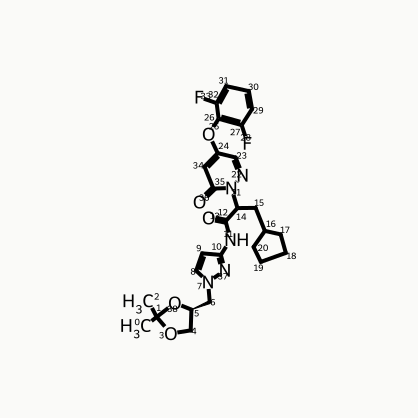 CC1(C)OC[C@H](Cn2ccc(NC(=O)C(CC3CCCC3)n3ncc(Oc4c(F)cccc4F)cc3=O)n2)O1